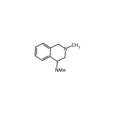 CNC1CN(C)Cc2ccccc21